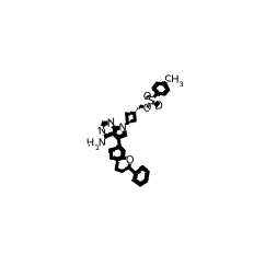 Cc1ccc(S(=O)(=O)OC[C@H]2C[C@@H](n3cc(-c4ccc5c(c4)OC(c4ccccc4)CC5)c4c(N)ncnc43)C2)cc1